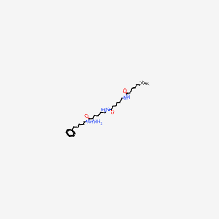 CCCCCCCCCCCCCCCC(=O)NCCCCCC(=O)NCCCC[C@H](N)C(=O)NCCCCCc1ccccc1